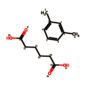 Cc1cccc(C)c1.O=C(O)CCCCC(=O)O